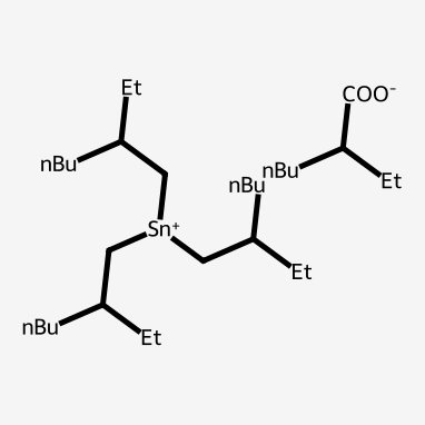 CCCCC(CC)C(=O)[O-].CCCCC(CC)[CH2][Sn+]([CH2]C(CC)CCCC)[CH2]C(CC)CCCC